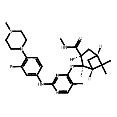 CNC(=O)[C@H]1C[C@H]2C[C@H](C2(C)C)[C@@]1(C)Nc1nc(Nc2ccc(N3CCN(C)CC3)c(F)c2)ncc1C